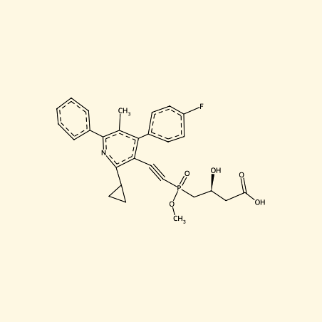 COP(=O)(C#Cc1c(C2CC2)nc(-c2ccccc2)c(C)c1-c1ccc(F)cc1)C[C@@H](O)CC(=O)O